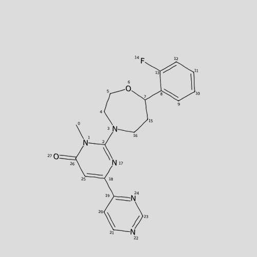 Cn1c(N2CCOC(c3ccccc3F)CC2)nc(-c2ccncn2)cc1=O